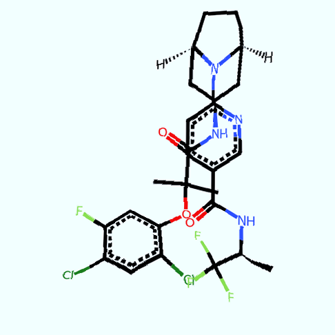 C[C@H](NC(=O)c1ccc(N2[C@@H]3CC[C@H]2C[C@@H](NC(=O)C(C)(C)Oc2cc(F)c(Cl)cc2Cl)C3)nc1)C(F)(F)F